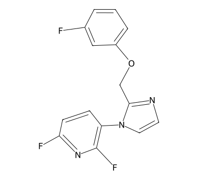 Fc1cccc(OCc2nccn2-c2ccc(F)nc2F)c1